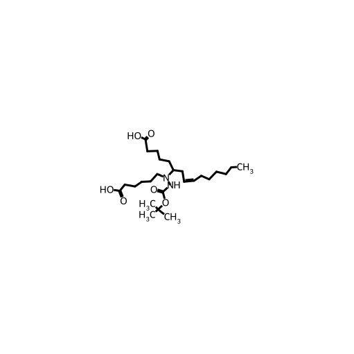 CCCCCC/C=C\CC(CCCCC(=O)O)N(CCCCCC(=O)O)NC(=O)OC(C)(C)C